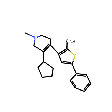 CN1CCC(c2cc(-c3ccccc3)sc2C(=O)O)=C(C2CCCC2)C1